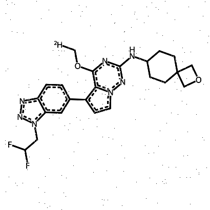 [2H]COc1nc(NC2CCC3(CC2)COC3)nn2ccc(-c3ccc4nnn(CC(F)F)c4c3)c12